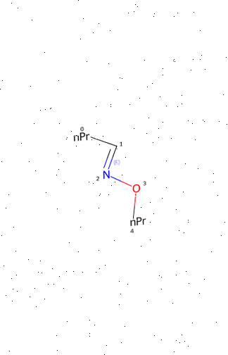 CCC/[C]=N/OCCC